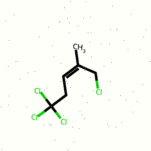 CC(=CCC(Cl)(Cl)Cl)CCl